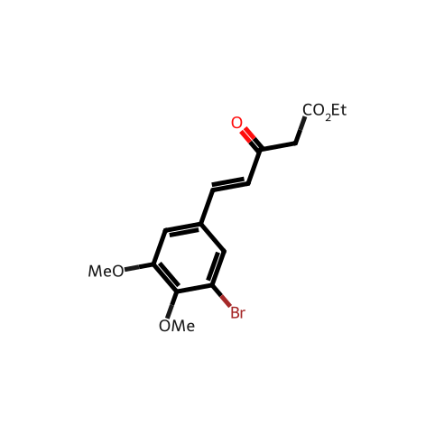 CCOC(=O)CC(=O)C=Cc1cc(Br)c(OC)c(OC)c1